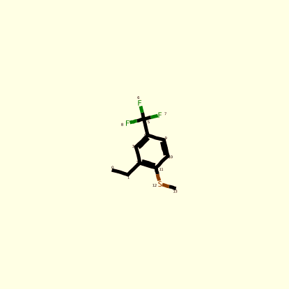 CCc1cc(C(F)(F)F)ccc1SC